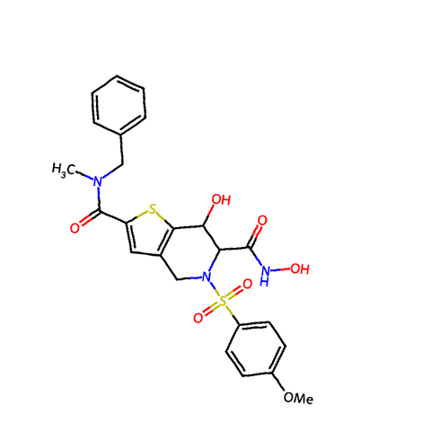 COc1ccc(S(=O)(=O)N2Cc3cc(C(=O)N(C)Cc4ccccc4)sc3C(O)C2C(=O)NO)cc1